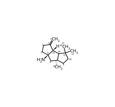 C=C1CC[C@@]2(N)C[C@]3(C)CCC(C)(C)C3[C@@H]12